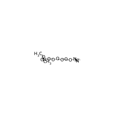 CCCOC(=O)N(C)CCOCCOCCOCCOCCOCCOCCN=[N+]=[N-]